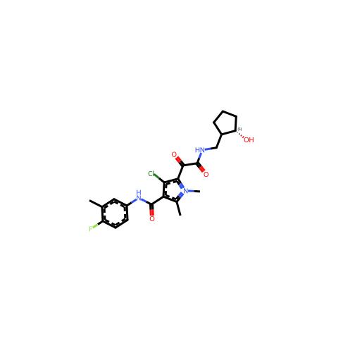 Cc1cc(NC(=O)c2c(Cl)c(C(=O)C(=O)NCC3CCC[C@@H]3O)n(C)c2C)ccc1F